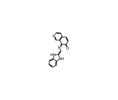 O=C1C=Cc2ccncc2/C1=N/C=C1Nc2ccccc2N1